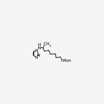 CCCCCCCCCCCC[CH]CCC(C)Nn1ccnn1